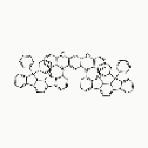 c1ccc(C2(c3ccccc3)c3ccccc3-c3ccc4c5cccc6c5n(c4c32)-c2cccc3c2B6c2cc4c(cc2O3)Oc2cccc3c2B4c2cccc4c5ccc6c(c5n-3c24)C(c2ccccc2)(c2ccccc2)c2ccccc2-6)cc1